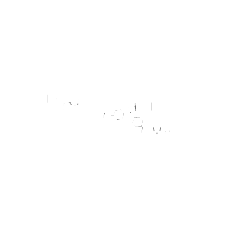 C=CC(=O)OCCCCCCOc1ccc(C(OO)c2ccc(OC)cc2)cc1